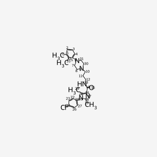 Cc1cccc(N2CCN(CCCNC(=O)c3nc(C)n(-c4ccc(Cl)cc4)c3C)CC2)c1C